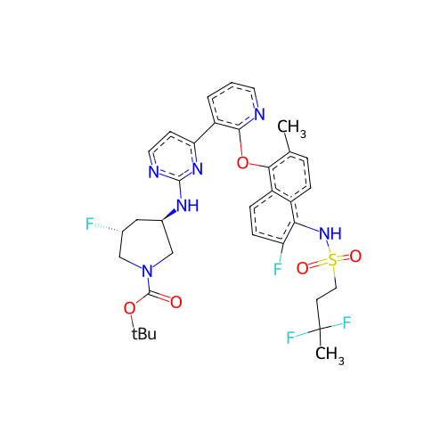 Cc1ccc2c(NS(=O)(=O)CCC(C)(F)F)c(F)ccc2c1Oc1ncccc1-c1ccnc(N[C@@H]2C[C@@H](F)CN(C(=O)OC(C)(C)C)C2)n1